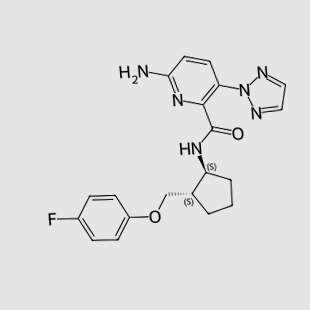 Nc1ccc(-n2nccn2)c(C(=O)N[C@H]2CCC[C@@H]2COc2ccc(F)cc2)n1